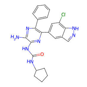 Nc1nc(-c2ccccc2)c(-c2cc(Cl)c3[nH]ncc3c2)nc1NC(=O)NC1CCCC1